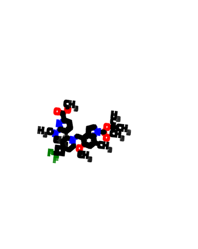 COC(=O)c1ccc([C@H]2CC3(CCN2Cc2c(OC)cc(C)c4c2ccn4C(=O)OC(C)(C)C)CC(F)(F)C3)c(N(C)C)n1